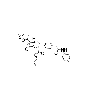 C=CCOC(=O)C1=C(c2ccc(CC(=O)Nc3ccncc3)cc2)C[C@@H]2[C@@H]([C@@H](C)O[Si](C)(C)C)C(=O)N12